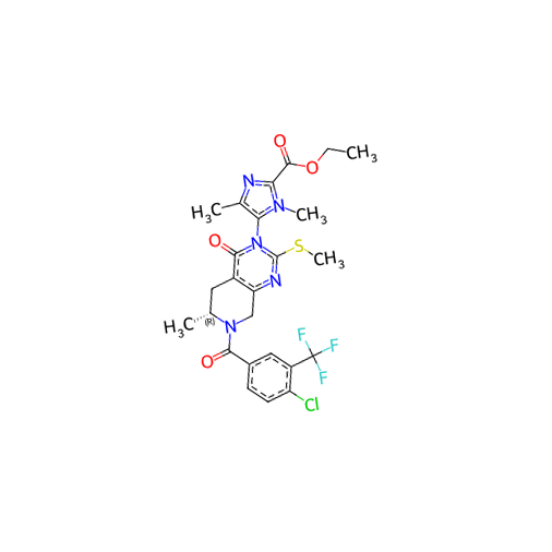 CCOC(=O)c1nc(C)c(-n2c(SC)nc3c(c2=O)C[C@@H](C)N(C(=O)c2ccc(Cl)c(C(F)(F)F)c2)C3)n1C